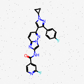 O=C(Nc1cn2nc(-c3cn(C4CC4)nc3-c3ccc(F)cc3)ccc2n1)c1ccnc(F)c1